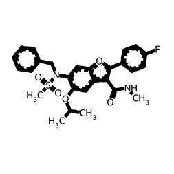 CNC(=O)c1c(-c2ccc(F)cc2)oc2cc(N(Cc3ccccc3)S(C)(=O)=O)c(OC(C)C)cc12